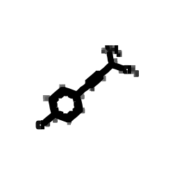 CC(N)C#Cc1ccc(Cl)cc1